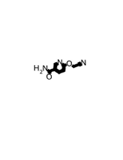 N#CCOc1ccc(C(N)=O)cn1